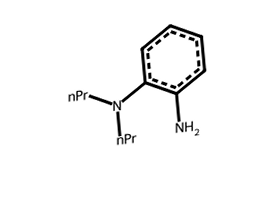 CCCN(CCC)c1ccccc1N